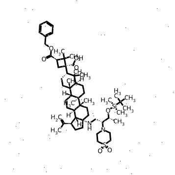 C=C(C)[C@@H]1CC[C@]2(NC[C@H]([C@@H](C)O[Si](C)(C)C(C)(C)C)N3CCS(=O)(=O)CC3)CC[C@]3(C)[C@H](CC[C@@H]4[C@]5(C)CC[C@H]([C@@]6(C(=O)O)C[C@@H](C(=O)OCc7ccccc7)C6(C)C)C(C)(C)[C@H]5CC[C@]43C)[C@@H]12